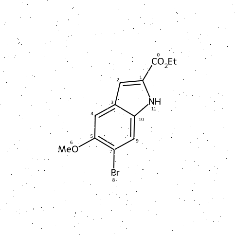 CCOC(=O)c1cc2cc(OC)c(Br)cc2[nH]1